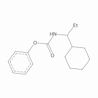 CCC(NC(=O)Oc1ccccc1)C1CCCCC1